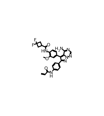 C=CC(=O)Nc1ccc(-c2nn3ncnc(N)c3c2-c2ccc(NC(=O)C3CC(F)(F)C3)c(OC)c2)cc1